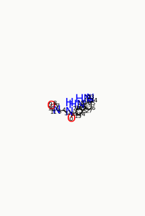 O=C(NCCCN1CCOCC1)c1ccc2c3c([nH]c2c1)-c1[nH]ncc1CC3